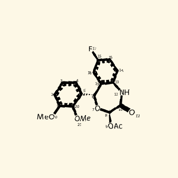 COc1cccc([C@H]2O[C@H](OC(C)=O)C(=O)Nc3ccc(F)cc32)c1OC